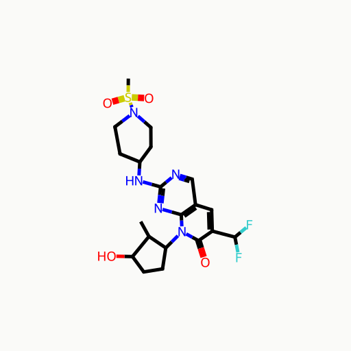 CC1C(O)CCC1n1c(=O)c(C(F)F)cc2cnc(NC3CCN(S(C)(=O)=O)CC3)nc21